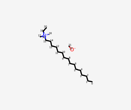 CCCCCCCCCCCCCCCC[N+](C)(C)CC.C[O-]